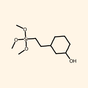 CO[Si](CCC1CCCC(O)C1)(OC)OC